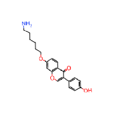 NCCCCCCOc1ccc2c(=O)c(-c3ccc(O)cc3)coc2c1